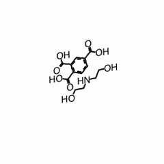 O=C(O)c1ccc(C(=O)O)c(C(=O)O)c1.OCCNCCO